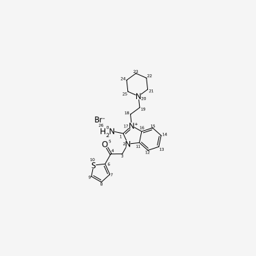 Nc1n(CC(=O)c2cccs2)c2ccccc2[n+]1CCN1CCCCC1.[Br-]